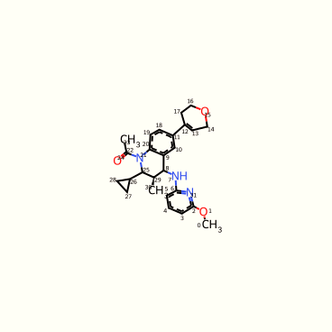 COc1cccc(NC2c3cc(C4=CCOCC4)ccc3N(C(C)=O)C(C3CC3)[C@@H]2C)n1